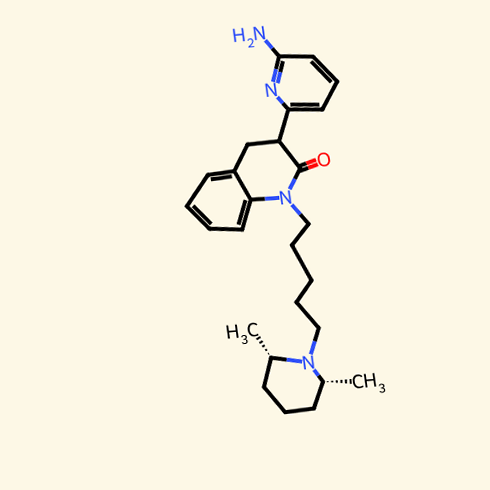 C[C@@H]1CCC[C@H](C)N1CCCCCN1C(=O)C(c2cccc(N)n2)Cc2ccccc21